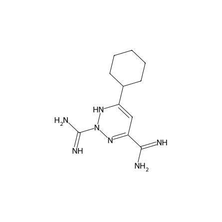 N=C(N)C1=NN(C(=N)N)NC(C2CCCCC2)=C1